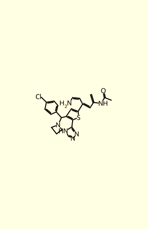 C=C(/C=C(\C=C/N)c1cc(C(c2ccc(Cl)cc2)N2CCC2)c(-c2nnc[nH]2)s1)NC(C)=O